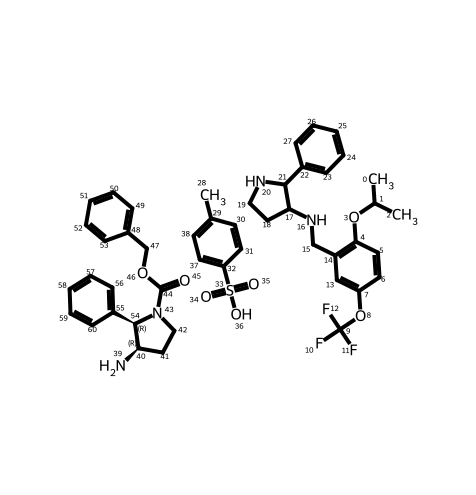 CC(C)Oc1ccc(OC(F)(F)F)cc1CNC1CCNC1c1ccccc1.Cc1ccc(S(=O)(=O)O)cc1.N[C@@H]1CCN(C(=O)OCc2ccccc2)[C@@H]1c1ccccc1